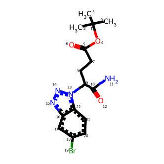 CC(C)(C)OC(=O)CCC(C(N)=O)n1nnc2cc(Br)ccc21